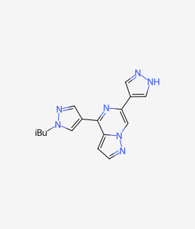 CCC(C)n1cc(-c2nc(-c3cn[nH]c3)cn3nccc23)cn1